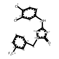 O=c1nc(Nc2ccc(Cl)c(Cl)c2)sn1Cc1cccc(C(F)(F)F)c1